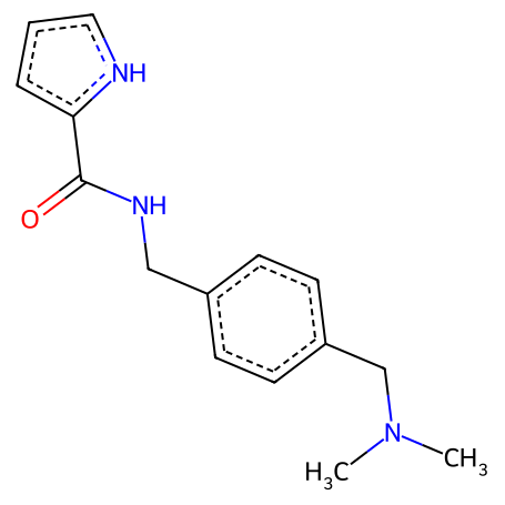 CN(C)Cc1ccc(CNC(=O)c2ccc[nH]2)cc1